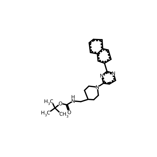 CC(C)(C)OC(=O)NCC1CCN(c2ccnc(-c3ccc4ccccc4c3)n2)CC1